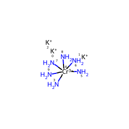 [K+].[K+].[K+].[NH2][Cr-3]([NH2])([NH2])([NH2])([NH2])[NH2]